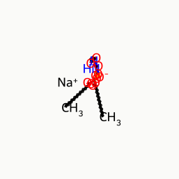 CCCCCCCCCCCCCCCCCC(=O)OC[C@H](COP(=O)([O-])OCCNC(=O)CCN1C(=O)C=CC1=O)OC(=O)CCCCCCCCCCCCCCCCC.[Na+]